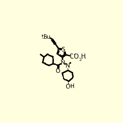 CC1CCC(C(=O)N(c2cc(C#CC(C)(C)C)sc2C(=O)O)N(C)[C@H]2CC[C@@H](O)CC2)CC1